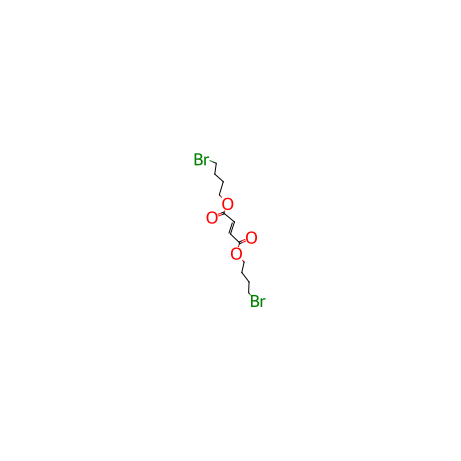 O=C(/C=C/C(=O)OCCCCBr)OCCCCBr